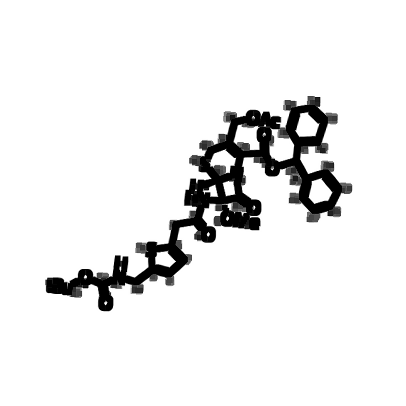 CO[C@@]1(NC(=O)Cc2ccc(CNC(=O)OC(C)(C)C)s2)C(=O)N2C(C(=O)OC(c3ccccc3)c3ccccc3)=C(COC(C)=O)CS[C@H]21